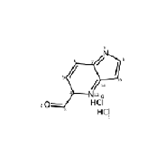 Cl.Cl.O=CC1C=CC2=NC=CC2=N1